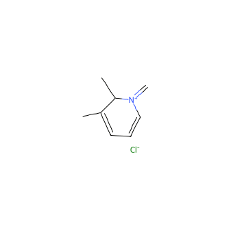 C=[N+]1C=CC=C(C)C1C.[Cl-]